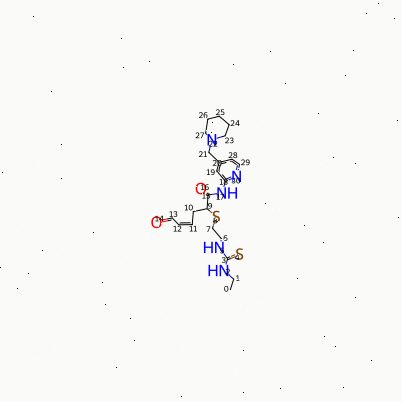 CCNC(=S)NCCSC(C/C=C\C=O)C(=O)Nc1cc(CN2CCCCC2)ccn1